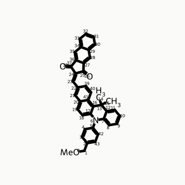 COCc1ccc(N2c3ccccc3C(C)(C)c3c2ccc2cc(C=C4C(=O)c5cc6ccccc6cc5C4=O)ccc32)cc1